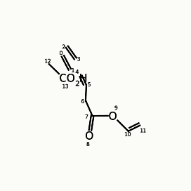 C=C.C=C.C=CCC(=O)OC=C.CC(=O)O